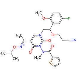 COc1ccc(F)cc1C(Cn1cc(/C(C)=N/OC(C)C)c(=O)n(N(C)C(=O)c2cccs2)c1=O)OCCC#N